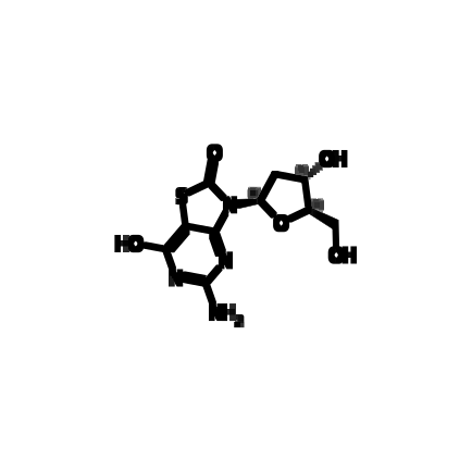 Nc1nc(O)c2sc(=O)n([C@H]3C[C@H](O)[C@@H](CO)O3)c2n1